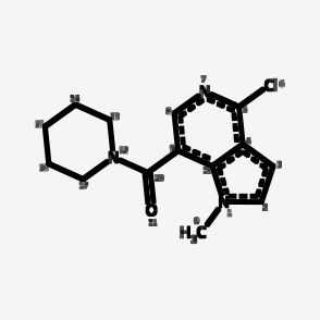 Cn1ccc2c(Cl)ncc(C(=O)N3CCCCC3)c21